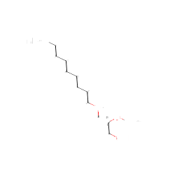 CCCCCCCCCCCCCCCCCCOC[C@@H](CO)OCCCCC